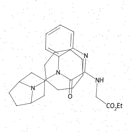 CCOC(=O)CNc1nc2ccccc2n(C2CC3CCC(C2)N3C2CCCCCCC2)c1=O